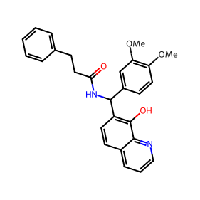 COc1ccc(C(NC(=O)CCc2ccccc2)c2ccc3cccnc3c2O)cc1OC